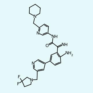 N=C(C(=O)Nc1ccc(CN2CCCCC2)nc1)c1cc(-c2cncc(CN3CCC(F)(F)C3)c2)ccc1N